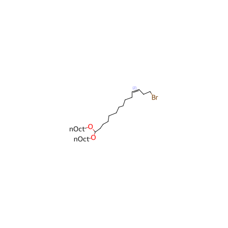 CCCCCCCCOC(CCCCCCCCC/C=C\CCBr)OCCCCCCCC